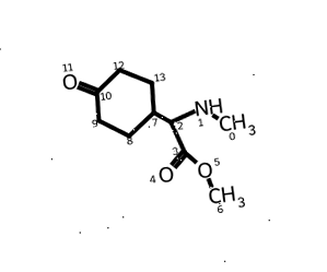 CNC(C(=O)OC)C1CCC(=O)CC1